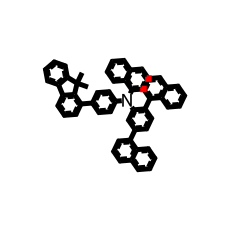 CC1(C)c2ccccc2-c2cccc(-c3ccc(N(c4cc(-c5cccc6ccccc56)ccc4-c4cccc5ccccc45)c4cccc5ccccc45)cc3)c21